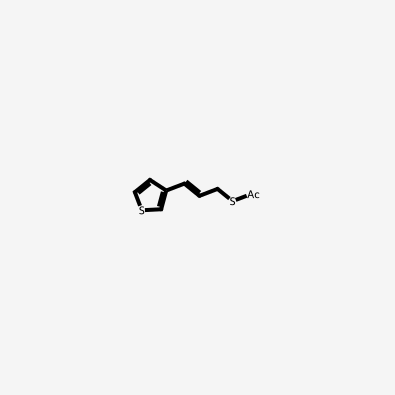 CC(=O)SCC=Cc1ccsc1